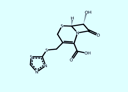 O=C(O)C1=C(CSc2nncs2)CS[C@H]2[C@H](O)C(=O)N12